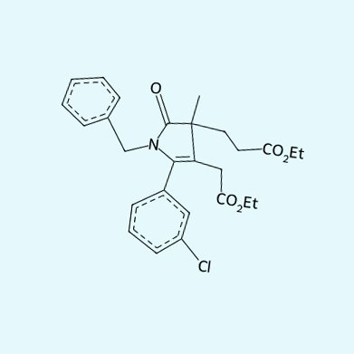 CCOC(=O)CCC1(C)C(=O)N(Cc2ccccc2)C(c2cccc(Cl)c2)=C1CC(=O)OCC